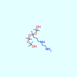 C[Si](C)(O)O[Si](C)(C)O[Si@@](C)(CCCNCCN)O[Si](C)(C)O